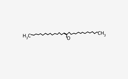 CCCCCCCCCCCCCCC/C=C(\C=O)CCCCCCCCCCCCCC